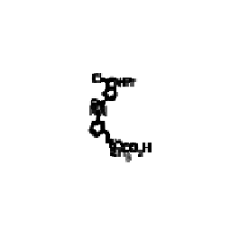 CC(C)n1cc(Cl)c2cc(-c3nc(-c4cccc(CCN(C)CC(=O)O)c4)no3)ccc21